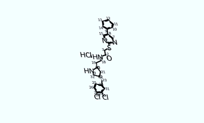 Cl.O=C(CSc1ncc(-c2ccccc2)cn1)NCC[C@H]1C[C@H](Cc2ccc(Cl)c(Cl)c2)CN1